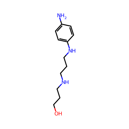 Nc1ccc(NCCCNCCCO)cc1